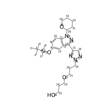 CC(C)(C)[Si](C)(C)Oc1ccc2c(c1)c(-c1cnn(CCCOCCCO)n1)nn2C1CCCCO1